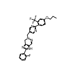 CCCOc1ccc(-c2ncc(CN3Cc4nc(-c5ccccc5F)[nH]c4C=N3)cn2)c(C(F)(F)F)c1